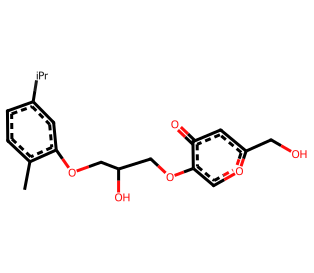 Cc1ccc(C(C)C)cc1OCC(O)COc1coc(CO)cc1=O